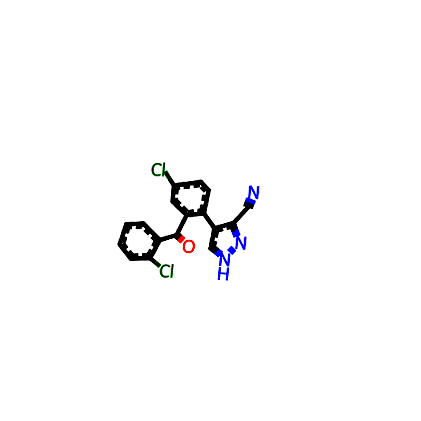 N#Cc1n[nH]cc1-c1ccc(Cl)cc1C(=O)c1ccccc1Cl